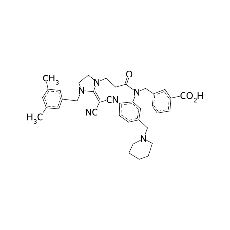 Cc1cc(C)cc(CN2CCN(CCC(=O)N(Cc3cccc(C(=O)O)c3)c3cccc(CN4CCCCC4)c3)C2=C(C#N)C#N)c1